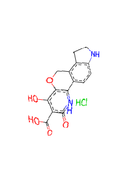 Cl.O=C(O)c1c(O)c2c([nH]c1=O)-c1ccc3c(c1CO2)CCN3